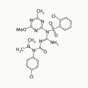 COc1nc(C)nc(N(C(N)=NC(=O)N(c2ccc(Cl)cc2)N(C)C)S(=O)(=O)c2ccccc2Cl)n1